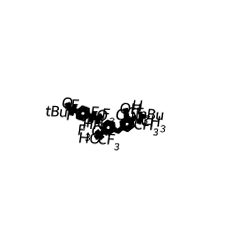 CCCCC(C)(C)Nc1ccc(Cc2ccc(NC(=O)C(F)(F)c3ccc(C(F)(F)C(=O)C(C)(C)C)cc3)c(C(O)(C(F)(F)F)C(F)(F)F)c2)cc1C(O)(C(F)(F)F)C(F)(F)F